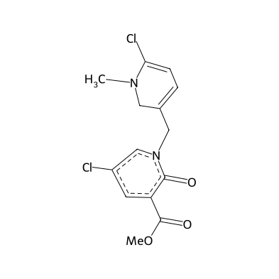 COC(=O)c1cc(Cl)cn(CC2=CC=C(Cl)N(C)C2)c1=O